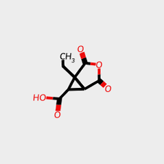 CCC12C(=O)OC(=O)C1C2C(=O)O